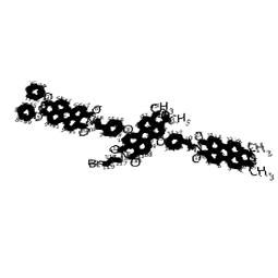 CC(=O)c1ccc2c3ccc4c5c(ccc(c6ccc(C(C)=O)c1c26)c53)C(=O)N(CCc1ccc(Oc2cc(C(C)=O)c3c(C(C)=O)ccc5c6c(Oc7ccc(CCN8C(=O)c9ccc%10c%11ccc(C(=O)Oc%12ccccc%12)c%12c(C(=O)Oc%13ccccc%13)ccc(c%13ccc(c9c%10%13)C8=O)c%12%11)cc7)cc7c8c(ccc(c2c35)c86)C(=O)N(CCCBr)C7=O)cc1)C4=O